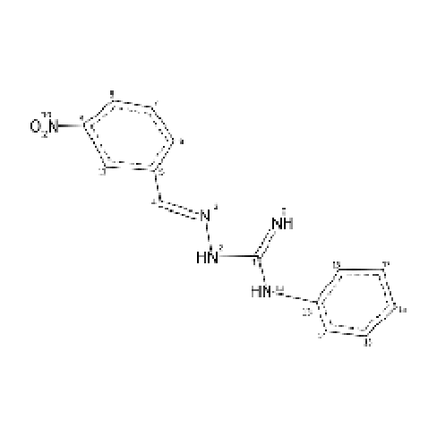 N=C(N/N=C/c1cccc([N+](=O)[O-])c1)Nc1ccccc1